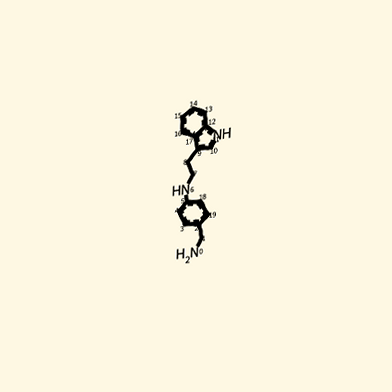 NCc1ccc(NCCc2c[nH]c3ccccc23)cc1